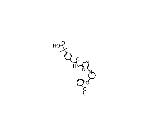 CCOc1ccccc1O[C@@H]1CCCN(c2cncc(NC(=O)Cc3ccc(C(C)(C)C(=O)O)cc3)n2)C1